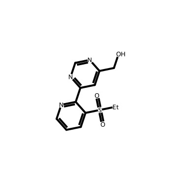 CCS(=O)(=O)c1cccnc1-c1cc(CO)ncn1